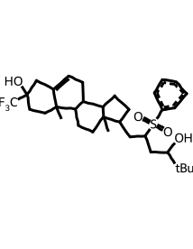 CC(C)(C)C(O)CC(CC1CCC2C3CC=C4CC(O)(C(F)(F)F)CCC4(C)C3CCC12C)S(=O)(=O)c1ccccc1